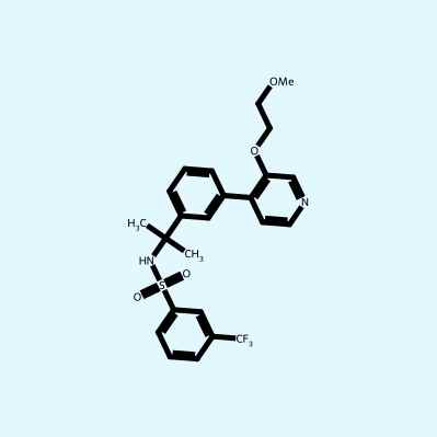 COCCOc1cnccc1-c1cccc(C(C)(C)NS(=O)(=O)c2cccc(C(F)(F)F)c2)c1